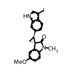 COc1ccc2c(c1)[C@]1(C[C@H]1c1ccc3c(I)c[nH]c3c1)C(=O)N2C